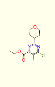 CCOC(=O)c1nc(C2CCOCC2)nc(Cl)c1C